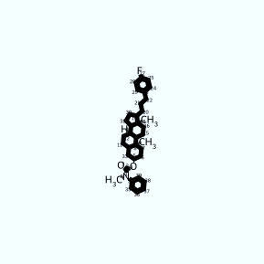 CN(C(=O)O[C@H]1CC[C@@]2(C)C(CC[C@@H]3C2CC[C@]2(C)C(CCCc4ccc(F)cc4)CCC32)C1)c1ccccc1